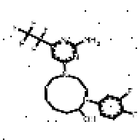 Nc1nc(N2CCCCCC(O)N(c3ccc(F)c(F)c3)CC2)cc(C(F)(F)C(F)(F)F)n1